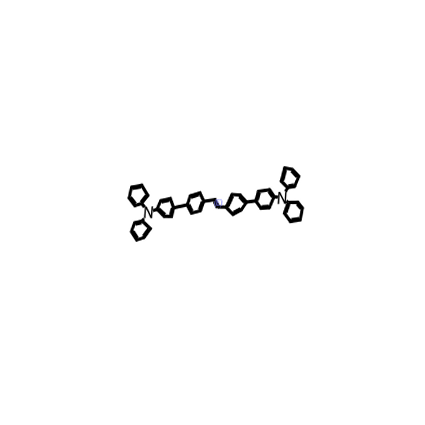 C(=C\c1ccc(-c2ccc(N(c3ccccc3)c3ccccc3)cc2)cc1)/c1ccc(-c2ccc(N(c3ccccc3)c3ccccc3)cc2)cc1